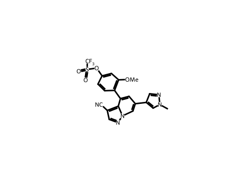 COc1cc(OS(=O)(=O)C(F)(F)F)ccc1-c1cc(-c2cnn(C)c2)cn2ncc(C#N)c12